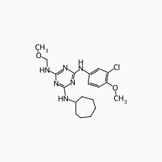 COCNc1nc(Nc2ccc(OC)c(Cl)c2)nc(NC2CCCCCC2)n1